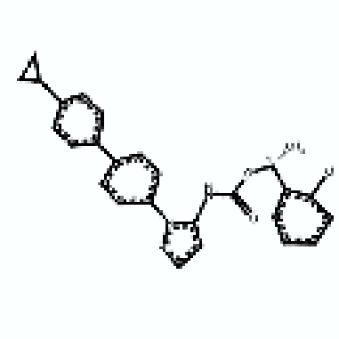 C[C@@H](OC(=O)Nc1ccnn1-c1ccc(-c2ccc(C3CC3)cc2)cc1)c1ccccc1Cl